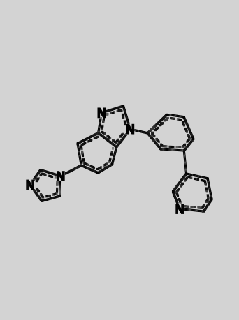 c1cncc(-c2cccc(-n3cnc4cc(-n5ccnc5)ccc43)c2)c1